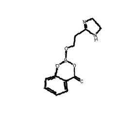 O=C1OB(OCCC2=NCCN2)Oc2ccccc21